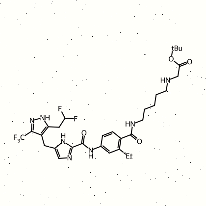 CCc1cc(NC(=O)c2ncc(Cc3c(C(F)(F)F)n[nH]c3CC(F)F)[nH]2)ccc1C(=O)NCCCCCNCC(=O)OC(C)(C)C